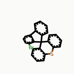 Brc1cccc2c1C1(c3ccccc3Sc3ccccc31)c1ccccc1-2